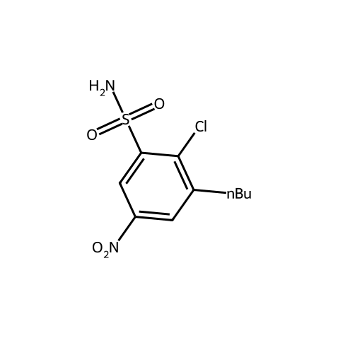 CCCCc1cc([N+](=O)[O-])cc(S(N)(=O)=O)c1Cl